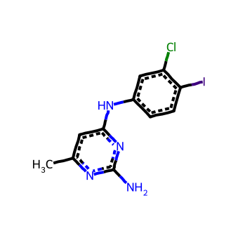 Cc1cc(Nc2ccc(I)c(Cl)c2)nc(N)n1